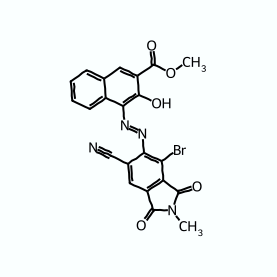 COC(=O)c1cc2ccccc2c(/N=N/c2c(C#N)cc3c(c2Br)C(=O)N(C)C3=O)c1O